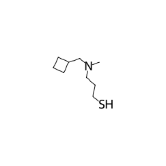 CN(CCCS)CC1CCC1